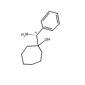 N[C@H](c1ccccc1)C1(O)CCCCCC1